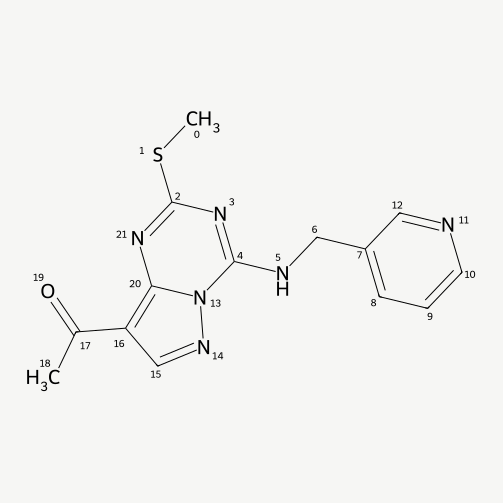 CSc1nc(NCc2cccnc2)n2ncc(C(C)=O)c2n1